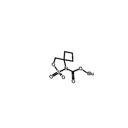 CC(C)(C)OC(=O)N1C2(CCC2)COS1(=O)=O